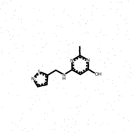 Cc1nc(O)cc(NCc2ccns2)n1